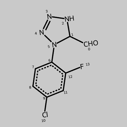 O=CC1NN=NN1c1ccc(Cl)cc1F